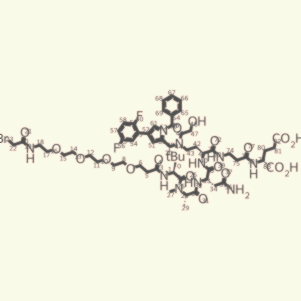 C[C@H](NC(=O)CCOCCOCCOCCOCCNC(=O)CBr)C(=O)N(C)[C@@H](C)C(=O)N[C@@H](CC(N)=O)C(=O)N[C@@H](CCN(C(=O)CO)[C@@H](c1cc(-c2cc(F)ccc2F)cn1Cc1ccccc1)C(C)(C)C)C(=O)NCCC(=O)N[C@H](CCC(=O)O)C(=O)O